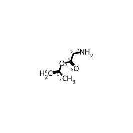 C=C(C)OC(=O)CN